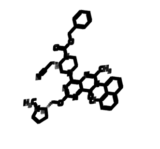 Cc1nc2c(N3CCN(C(=O)OCc4ccccc4)[C@@H](CC#N)C3)nc(OC[C@@H]3CCCN3C)nc2c(=O)n1-c1cccc2cccc(Cl)c12